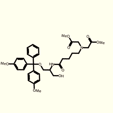 COC(=O)CN(CCCCC(=O)NC(CO)COC(c1ccccc1)(c1ccc(OC)cc1)c1ccc(OC)cc1)CC(=O)OC